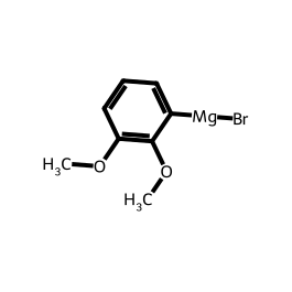 COc1ccc[c]([Mg][Br])c1OC